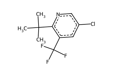 CC(C)(C)c1ncc(Cl)cc1C(F)(F)F